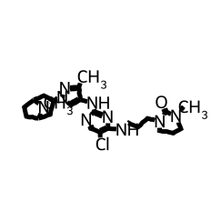 Cc1nn(C2CC3CCC(C2)N3C)cc1Nc1ncc(Cl)c(NCCCN2CCCN(C)C2=O)n1